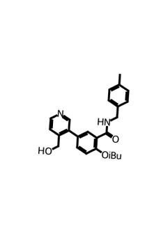 Cc1ccc(CNC(=O)c2cc(-c3cnccc3CO)ccc2OCC(C)C)cc1